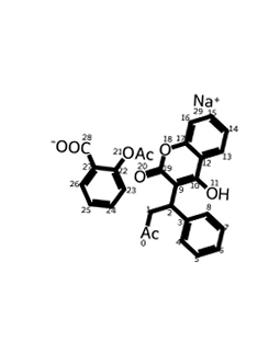 CC(=O)CC(c1ccccc1)c1c(O)c2ccccc2oc1=O.CC(=O)Oc1ccccc1C(=O)[O-].[Na+]